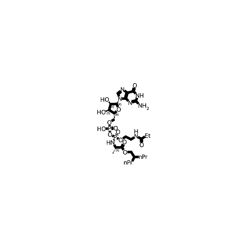 CCCC(CCC)COC(=O)[C@H](C)NP(=O)(OCCNC(=O)CC)OP(=O)(O)OC[C@H]1O[C@@H](n2cnc3c(=O)[nH]c(N)nc32)[C@H](O)[C@@H]1O